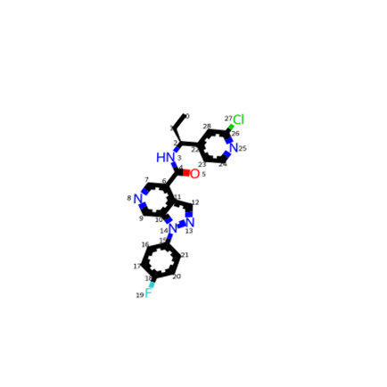 CC[C@H](NC(=O)c1cncc2c1cnn2-c1ccc(F)cc1)c1ccnc(Cl)c1